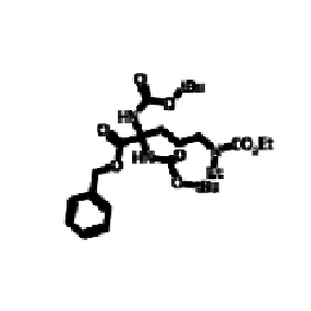 CCOC(=O)N(CC)CCCC(NC(=O)OC(C)(C)C)(NC(=O)OC(C)(C)C)C(=O)OCc1ccccc1